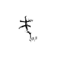 CC(C)C(C)(C)C(C)(C)SCC(=O)O